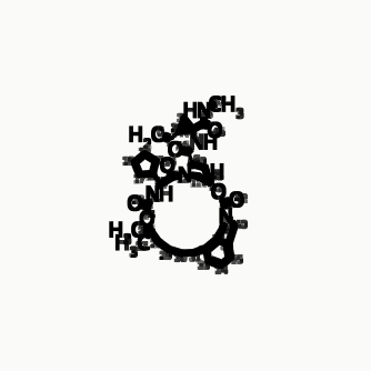 C=C[C@@H]1C[C@]1(NC(=O)[C@@H]1C[C@@H]2CN1C(=O)[C@H](C1CCCC1)NC(=O)OC(C)(C)CCCCc1cccc3c1CN(C3)C(=O)O2)C(=O)NC